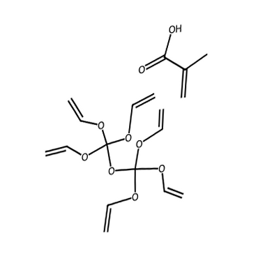 C=C(C)C(=O)O.C=COC(OC=C)(OC=C)OC(OC=C)(OC=C)OC=C